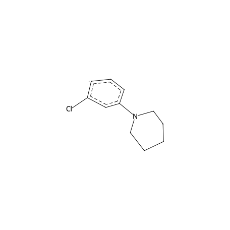 Clc1[c]ccc(N2CCCCC2)c1